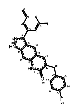 C=C/C=C(\C=C(C)C)c1n[nH]c2cc3[nH]c(=O)c(Cc4ccc(F)cc4)cc3cc12